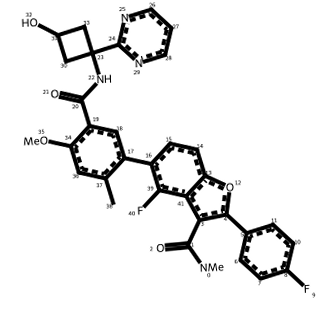 CNC(=O)c1c(-c2ccc(F)cc2)oc2ccc(-c3cc(C(=O)NC4(c5ncccn5)CC(O)C4)c(OC)cc3C)c(F)c12